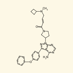 CN(CC=CC(=O)N1CCC(n2nc(-c3ccc(Oc4ccccc4)cc3)c3c(N)ncnc32)C1)C1CCC1